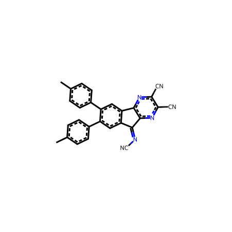 Cc1ccc(-c2cc3c(cc2-c2ccc(C)cc2)-c2nc(C#N)c(C#N)nc2/C3=N/C#N)cc1